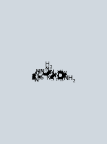 Cn1ccnc1SC(=N)c1ncc(N2CCC(C)(N)CC2)nc1N